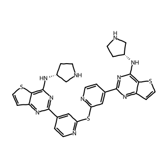 c1cc(-c2nc(N[C@@H]3CCNC3)c3sccc3n2)cc(Sc2cc(-c3nc(N[C@@H]4CCNC4)c4sccc4n3)ccn2)n1